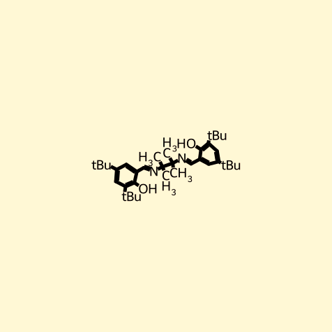 CC(C)(C)c1cc(/C=N/C(C)(C)C(C)(C)/N=C/c2cc(C(C)(C)C)cc(C(C)(C)C)c2O)c(O)c(C(C)(C)C)c1